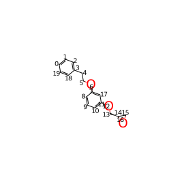 c1ccc(CCOc2cccc(OC[C@H]3CO3)c2)cc1